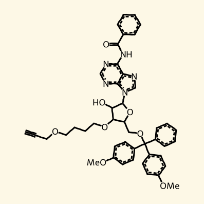 C#CCOCCCCOC1C(COC(c2ccccc2)(c2ccc(OC)cc2)c2ccc(OC)cc2)OC(n2cnc3c(NC(=O)c4ccccc4)ncnc32)C1O